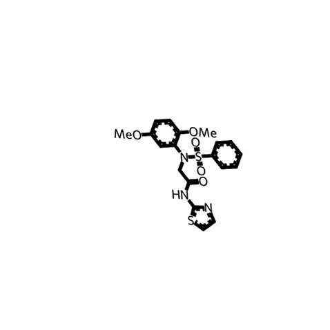 COc1ccc(OC)c(N(CC(=O)Nc2nccs2)S(=O)(=O)c2ccccc2)c1